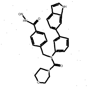 O=NNC(=O)c1ccc(CN(C(=O)N2CCOCC2)c2cccc(-c3ccc4cc[nH]c4c3)c2)cc1